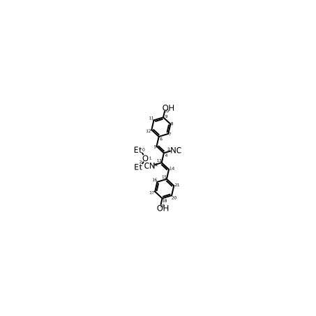 CCOCC.[C-]#[N+]C(=C\c1ccc(O)cc1)/C(=C/c1ccc(O)cc1)[N+]#[C-]